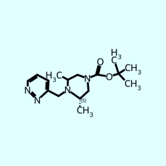 CC1CN(C(=O)OC(C)(C)C)C[C@H](C)N1Cc1cccnn1